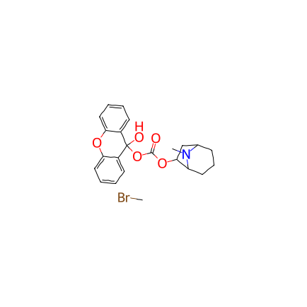 CBr.CN1C2CCCC1C(OC(=O)OC1(O)c3ccccc3Oc3ccccc31)C2